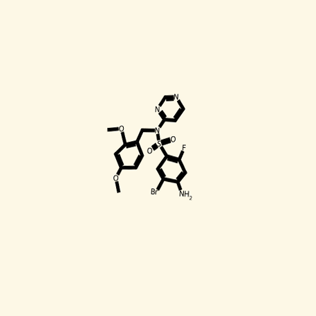 COc1ccc(CN(c2ccncn2)S(=O)(=O)c2cc(Br)c(N)cc2F)c(OC)c1